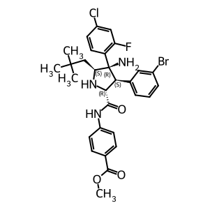 COC(=O)c1ccc(NC(=O)[C@@H]2N[C@@H](CC(C)(C)C)[C@](N)(c3ccc(Cl)cc3F)[C@H]2c2cccc(Br)c2)cc1